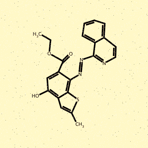 CCOC(=O)c1cc(O)c2cc(C)sc2c1/N=N/c1nccc2ccccc12